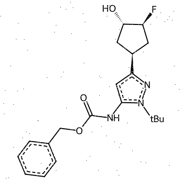 CC(C)(C)n1nc([C@H]2C[C@H](O)[C@@H](F)C2)cc1NC(=O)OCc1ccccc1